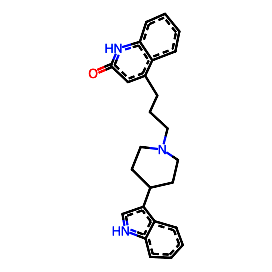 O=c1cc(CCCN2CCC(c3c[nH]c4ccccc34)CC2)c2ccccc2[nH]1